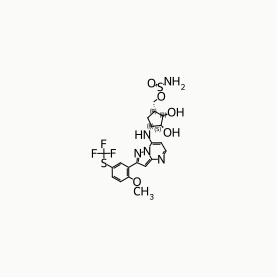 COc1ccc(SC(F)(F)F)cc1-c1cc2nccc(N[C@@H]3C[C@H](COS(N)=O)[C@@H](O)[C@H]3O)n2n1